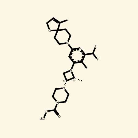 CC1=CCOC12CCN(c1cc(N3C[C@@H](N4CCN(C(=O)OC(C)(C)C)CC4)[C@H]3C)c(C)c(C(F)F)n1)CC2